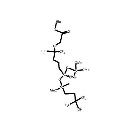 CO[Si](C)(CCC(O)(C(F)(F)F)C(F)(F)F)O[Si](CCCC(OCC(=O)OC(C)(C)C)(C(F)(F)F)C(F)(F)F)(OC)O[Si](OC)(OC)OC